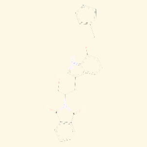 O=C1c2ccccc2C(=O)N1C(CO)Cc1c[nH]c2c(OCc3ccccc3)cccc12